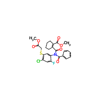 COC(=O)CSc1cc(N(C(=O)C2=C(C(=O)OC)CCCC2)C(=O)c2ccccc2)c(F)cc1Cl